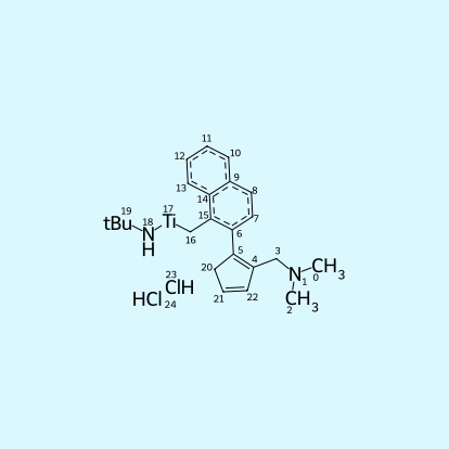 CN(C)CC1=C(c2ccc3ccccc3c2[CH2][Ti][NH]C(C)(C)C)CC=C1.Cl.Cl